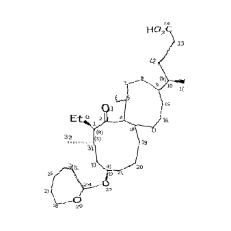 CC[C@H]1C(=O)C2C(C)CCC([C@H](C)CCC(=O)O)CCCC2CCC[C@@H](OC2CCCCO2)C[C@@H]1C